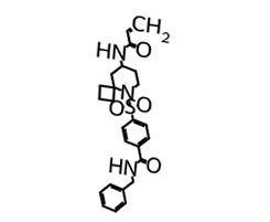 C=CC(=O)NC1CCN(S(=O)(=O)c2ccc(C(=O)NCc3ccccc3)cc2)C2(CCC2)C1